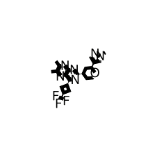 Cc1nc2nc([C@H]3CCO[C@H](c4cnn(C)c4)C3)nc([C@H]3C[C@H](C(F)(F)F)C3)c2nc1C